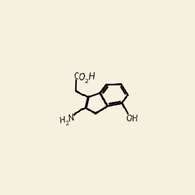 NC1Cc2c(O)cccc2C1CC(=O)O